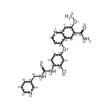 COc1cc2nccc(Oc3ccc(NC(=S)NCc4cccnc4)c(Cl)c3)c2cc1C(N)=O